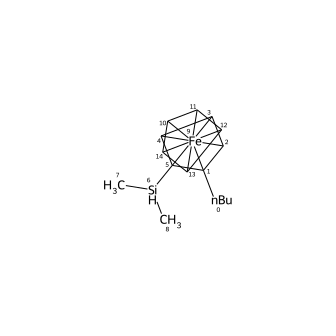 CCCC[C]12[CH]3[CH]4[CH]5[C]1([SiH](C)C)[Fe]43521678[CH]2[CH]1[CH]6[CH]7[CH]28